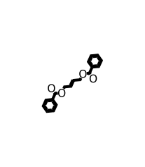 O=C(OC/C=C/COC(=O)c1ccccc1)c1ccccc1